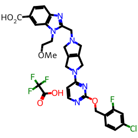 COCCn1c(CN2CC3=C(C2)CN(c2ccnc(OCc4ccc(Cl)cc4F)n2)C3)nc2ccc(C(=O)O)cc21.O=C(O)C(F)(F)F